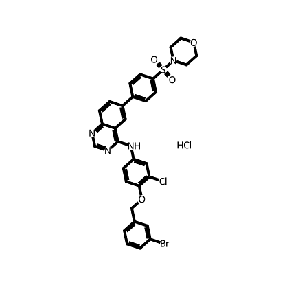 Cl.O=S(=O)(c1ccc(-c2ccc3ncnc(Nc4ccc(OCc5cccc(Br)c5)c(Cl)c4)c3c2)cc1)N1CCOCC1